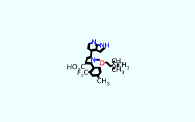 Cc1ccc(-c2c(C(=O)O)cc(-c3ccnc4[nH]ccc34)n2COCC[Si](C)(C)C)c(C(F)(F)F)c1